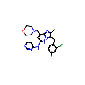 Cc1nc2c(CN3CCOCC3)cc(Nc3ccncn3)nn2c1Cc1ccc(Cl)cc1F